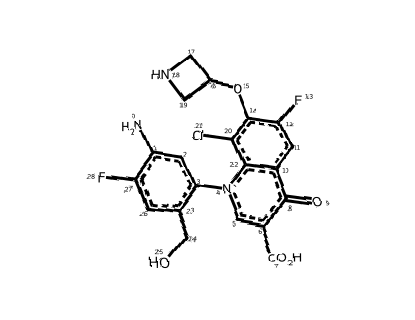 Nc1cc(-n2cc(C(=O)O)c(=O)c3cc(F)c(OC4CNC4)c(Cl)c32)c(CO)cc1F